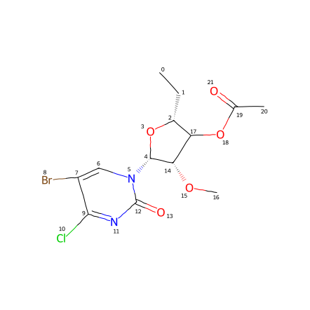 CC[C@H]1O[C@@H](n2cc(Br)c(Cl)nc2=O)[C@@H](OC)C1OC(C)=O